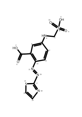 O=C(O)c1cc(NCS(=O)(=O)O)ccc1/N=N/c1nccs1